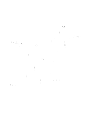 COc1cc2c(cc1OC)CN(C(CC(N)=O)c1cc(S(=O)(=O)O)cc3oc4ccccc4c13)CC2.Cl